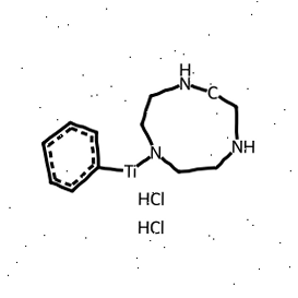 Cl.Cl.c1cc[c]([Ti][N]2CCNCCNCC2)cc1